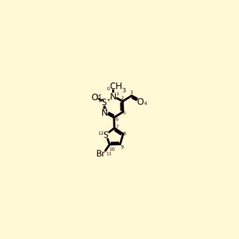 CN1C(C=O)=CC(c2ccc(Br)s2)=N[S+]1[O-]